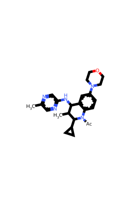 CC(=O)N1c2ccc(N3CCOCC3)cc2C(Nc2cnc(C)cn2)C(C)C1C1CC1